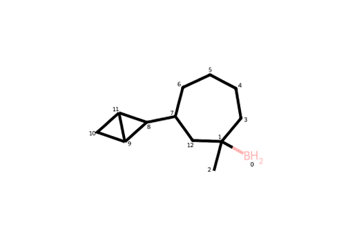 BC1(C)CCCCC(C2C3CC32)C1